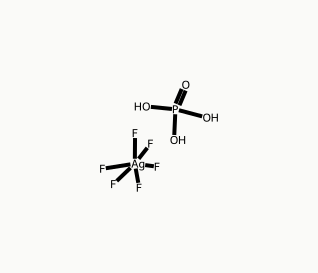 O=P(O)(O)O.[F][Ag]([F])([F])([F])([F])[F]